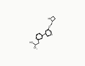 O[C@@H](Cc1cccc(-c2cncc(OC[C@@H]3CCN3)c2)c1)C(F)(F)F